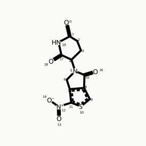 O=C1CCC(N2Cc3c(csc3[N+](=O)[O-])C2=O)C(=O)N1